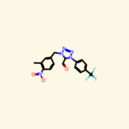 Cc1cc(CN2N=NN(c3ccc(C(F)(F)F)cc3)C2C=O)ccc1[N+](=O)[O-]